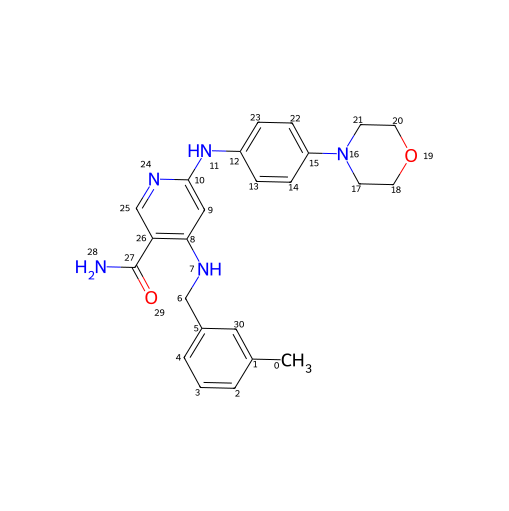 Cc1cccc(CNc2cc(Nc3ccc(N4CCOCC4)cc3)ncc2C(N)=O)c1